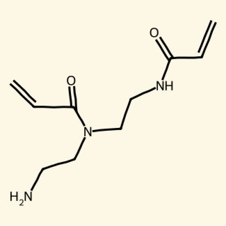 C=CC(=O)NCCN(CCN)C(=O)C=C